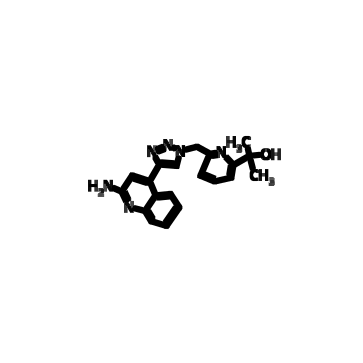 CC(C)(O)c1cccc(Cn2cc(-c3cc(N)nc4ccccc34)nn2)n1